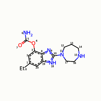 CCc1cc(OC(N)=O)c2nc(N3CCCNCC3)[nH]c2c1